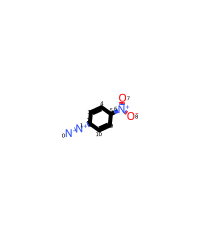 [N-]=[N+]=C1C=CC([N+](=O)[O-])C=C1